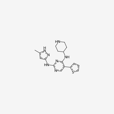 Cc1cc(Nc2ncc(-c3cccs3)c(NC3CCNCC3)n2)n[nH]1